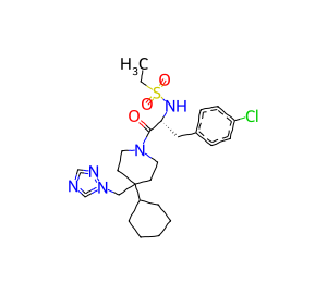 CCS(=O)(=O)N[C@H](Cc1ccc(Cl)cc1)C(=O)N1CCC(Cn2cncn2)(C2CCCCC2)CC1